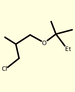 CCC(C)(C)OCC(C)CCl